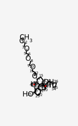 COCCOCCOCCOCCO[C@H]1CC[C@@]2(O)[C@H]3Cc4ccc(O)c5c4[C@@]2(CCN3CC2CCC2)[C@H]1O5